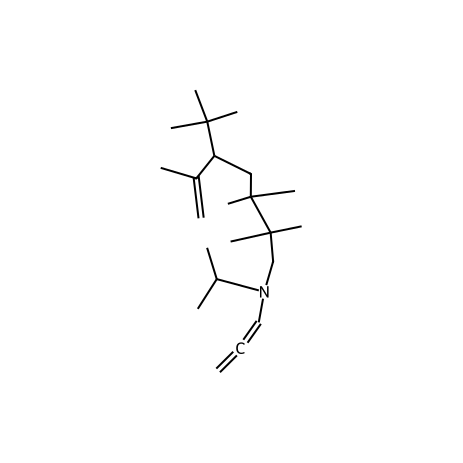 C=C=CN(CC(C)(C)C(C)(C)CC(C(=C)C)C(C)(C)C)C(C)C